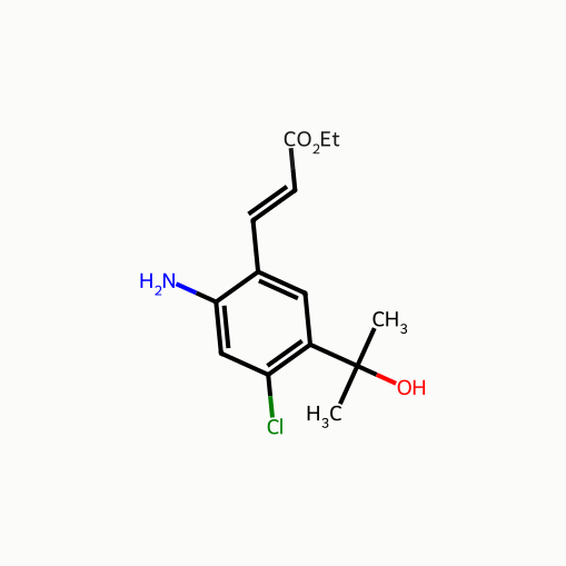 CCOC(=O)/C=C/c1cc(C(C)(C)O)c(Cl)cc1N